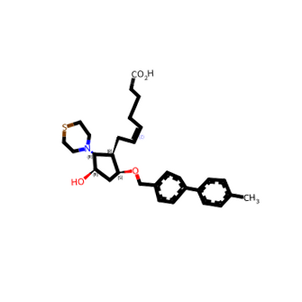 Cc1ccc(-c2ccc(CO[C@H]3C[C@@H](O)[C@H](N4CCSCC4)[C@H]3C/C=C\CCCC(=O)O)cc2)cc1